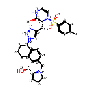 Cc1ccc(S(=O)(=O)N2C=CNC(=O)[C@H]2Cc2cn(C3CCCc4cc(CN5CCC[C@@H]5CO)ccc43)nn2)cc1